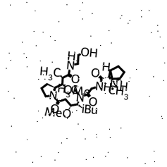 CC[C@H](C)[C@@H]([C@@H](CC(=O)N1CCC[C@H]1[C@H](OC)[C@@H](C)C(=O)NCCO)OC)N(C)C(=O)CNC(=O)[C@@H]1[C@H]2CC[C@H](C2)N1C